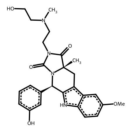 COc1ccc2[nH]c3c(c2c1)C[C@@]1(C)C(=O)N(CCN(C)CCO)C(=O)N1[C@@H]3c1cccc(O)c1